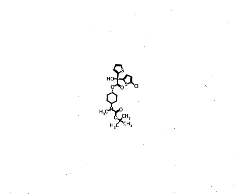 CN(C(=O)OC(C)(C)C)[C@H]1CC[C@H](OC(=O)C(O)(c2cccs2)c2ccc(Cl)s2)CC1